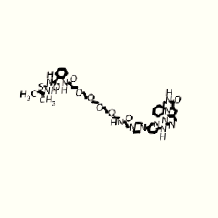 CC1=C(C)SC(NC(=O)c2ccccc2NC(=O)CCOCCOCCOCCOCCNC(=O)CN2CCN(c3ccc(Nc4ncc5c(n4)N4C(C5)C(=O)NCC45CCCCC5)nc3)CC2)N1